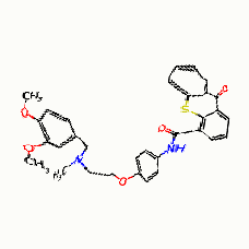 COc1ccc(CN(C)CCOc2ccc(NC(=O)c3cccc4c(=O)c5ccccc5sc34)cc2)cc1OC